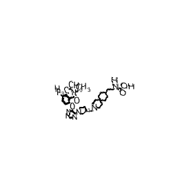 CCN(C(=O)c1cc(F)ccc1Oc1nncnc1N1CC[C@@H](CN2CCC3(CCC(CCNC(=O)O)CC3)CC2)C1)C(C)C